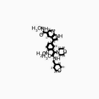 C=Nc1ccc(-c2c[nH]c3ncc(C(=O)NC)cc23)cc1/C(=C(\C)NCC1CCOCC1)N1CCOCC1